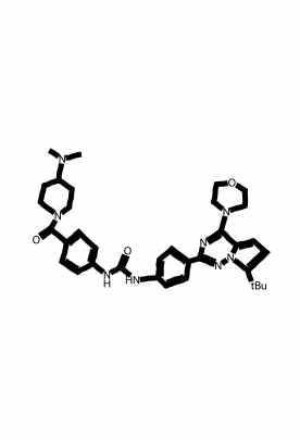 CN(C)C1CCN(C(=O)c2ccc(NC(=O)Nc3ccc(-c4nc(N5CCOCC5)c5ccc(C(C)(C)C)n5n4)cc3)cc2)CC1